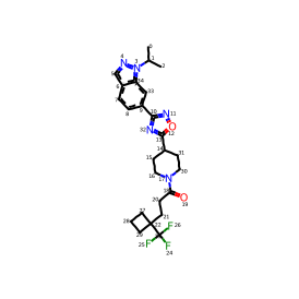 CC(C)n1ncc2ccc(-c3noc(C4CCN(C(=O)CCC5(C(F)(F)F)CCC5)CC4)n3)cc21